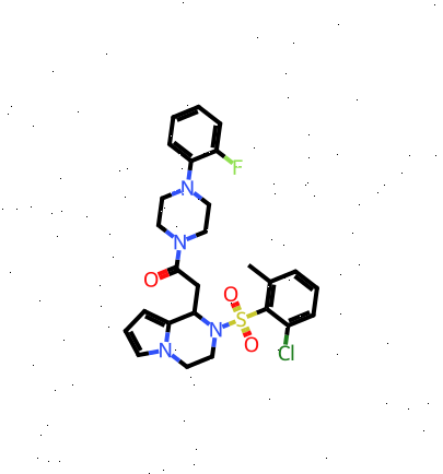 Cc1cccc(Cl)c1S(=O)(=O)N1CCn2cccc2C1CC(=O)N1CCN(c2ccccc2F)CC1